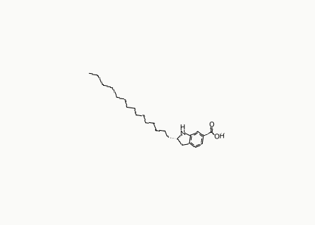 CCCCCCCCCCCCCCC[C@H]1Cc2ccc(C(=O)O)cc2N1